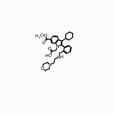 COC(=O)c1ccc2c(C3CCCCC3)c(-c3ccccc3CNCCN3CCOCC3)n(CC(=O)O)c2c1